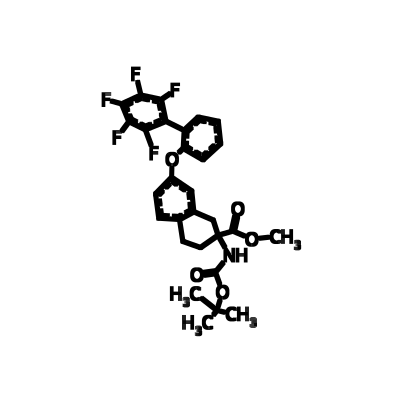 COC(=O)C1(NC(=O)OC(C)(C)C)CCc2ccc(Oc3ccccc3-c3c(F)c(F)c(F)c(F)c3F)cc2C1